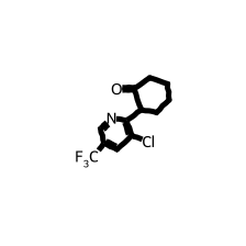 O=C1CCCCC1c1ncc(C(F)(F)F)cc1Cl